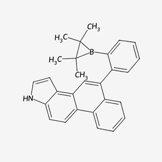 CC1(C)B(c2ccccc2-c2cc3c4cc[nH]c4ccc3c3ccccc23)C1(C)C